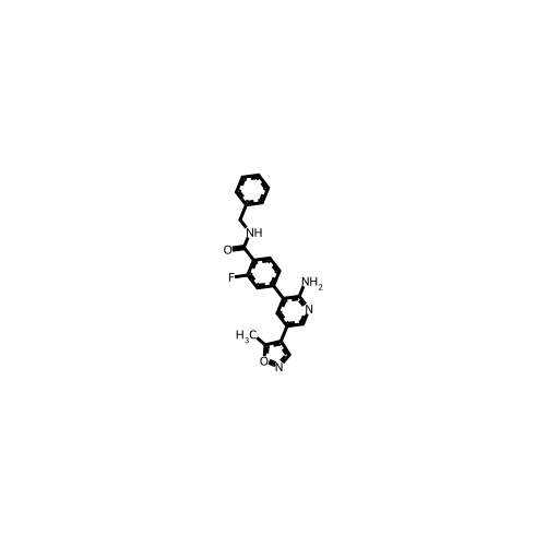 Cc1oncc1-c1cnc(N)c(-c2ccc(C(=O)NCc3ccccc3)c(F)c2)c1